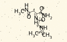 CNC(=O)CC(NC(=O)CNC(C)C)C(N)=O